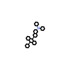 c1ccc(-c2c3ccccc3c(-c3ccc4cc(N(c5ccccc5)c5ccccc5)ccc4c3)c3ccccc23)cc1